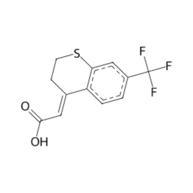 O=C(O)C=C1CCSc2cc(C(F)(F)F)ccc21